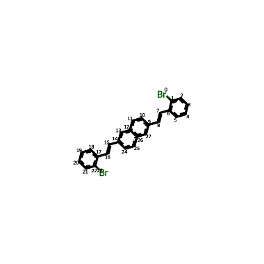 Brc1ccccc1/C=C/c1ccc2cc(/C=C/c3ccccc3Br)ccc2c1